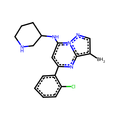 Bc1cnn2c(NC3CCCNC3)cc(-c3ccccc3Cl)nc12